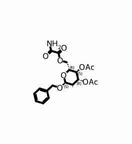 CC(=O)O[C@H]1[C@H](OC(C)=O)[CH][C@@H](OCc2ccccc2)O[C@@H]1COC(=O)C(N)=O